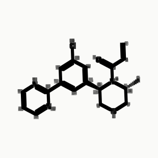 C=CC(=O)N1[C@H](C)COC[C@H]1c1cc(Cl)cc(-c2ncccn2)c1